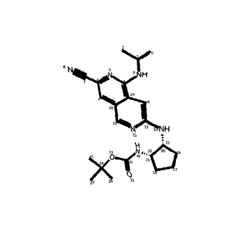 CC(C)Nc1nc(C#N)cc2cnc(N[C@@H]3CCC[C@@H]3NC(=O)OC(C)(C)C)cc12